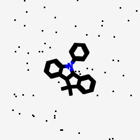 CC1(C)c2ccccc2C2C1c1ccccc1N2c1ccccc1